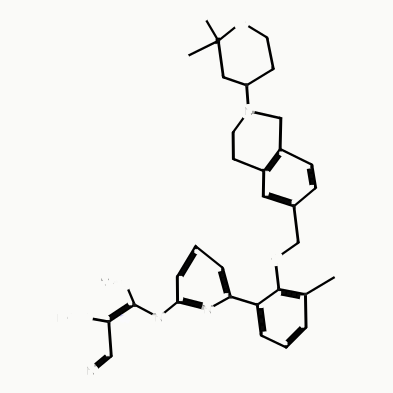 CO/C(Nc1cccc(-c2cccc(C)c2OCc2ccc3c(c2)CCN(C2CCOC(C)(C)C2)C3)n1)=C(/C=N)C(=O)O